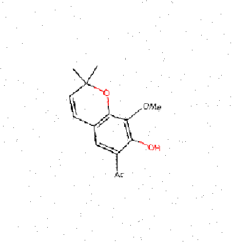 COc1c(O)c(C(C)=O)cc2c1OC(C)(C)C=C2